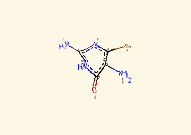 Nc1nc(S)c(N)c(=O)[nH]1